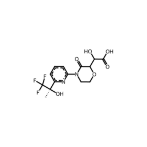 C[C@@](O)(c1cccc(N2CCOC(C(O)C(=O)O)C2=O)n1)C(F)(F)F